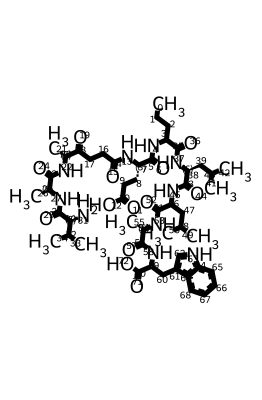 CCCC(NC(=O)[C@H](CCC(=O)O)NC(=O)CCC(=O)[C@H](C)NC(=O)[C@H](C)NC(=O)[C@@H](N)C(C)C)C(=O)N[C@@H](CC(C)C)C(=O)NC(CC(C)C)C(=O)N[C@@H](C)C(=O)NC(Cc1c[nH]c2ccccc12)C(=O)O